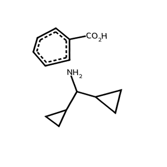 NC(C1CC1)C1CC1.O=C(O)c1ccccc1